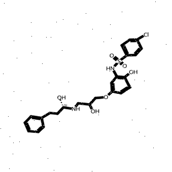 O=S(=O)(Nc1cc(OCC(O)CN[C@@H](O)CCc2ccccc2)ccc1O)c1ccc(Cl)cc1